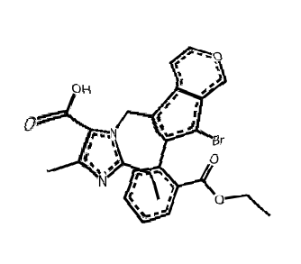 CCOC(=O)c1ccccc1-c1c(Br)c2coccc-2c1Cn1c(CC)nc(C)c1C(=O)O